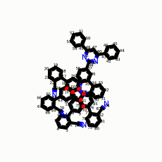 N#Cc1ccccc1-c1ccc2c(c1)c1cc(-c3ccccc3C#N)ccc1n2-c1ccccc1-c1cc(-c2nc(-c3ccccc3)cc(-c3ccccc3)n2)ccc1-n1c2ccc(-c3ccccc3C#N)cc2c2cc(-c3ccccc3C#N)ccc21